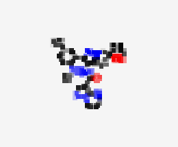 CCNc1ccc(C#N)cc1-c1nn(CC(C)(C)O)cc1NC(=O)c1cnn2cccnc12